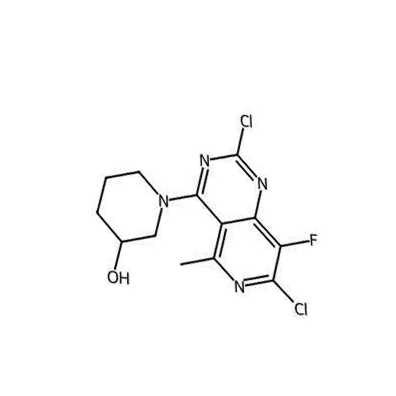 Cc1nc(Cl)c(F)c2nc(Cl)nc(N3CCCC(O)C3)c12